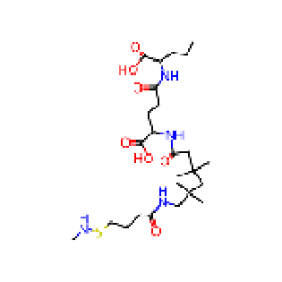 CCCC(NC(=O)CCC(NC(=O)CC(C)(C)CC(C)(C)CNC(=O)CCCSNC)C(=O)O)C(=O)O